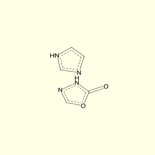 O=c1[nH]nco1.c1c[nH]cn1